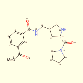 COC(=O)c1cccc(C(=O)NCC2CN[C@H](C(=O)N3CCCC3)C2)c1